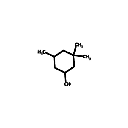 [CH]C1CC(C)CC(C)(C)C1